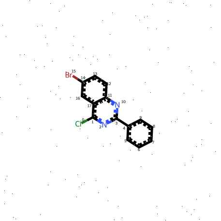 Clc1nc(-c2ccccc2)nc2ccc(Br)cc12